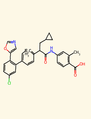 C=C(/C=C\C(=C/C)c1cc(Cl)ccc1-c1cnco1)C(CC1CC1)C(=O)Nc1ccc(C(=O)O)c(C)c1